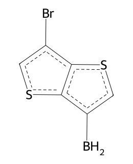 Bc1csc2c(Br)csc12